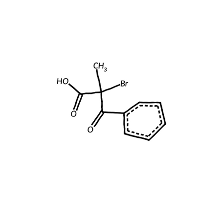 CC(Br)(C(=O)O)C(=O)c1ccccc1